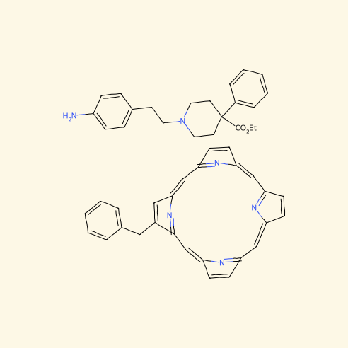 C1=CC2=NC1=CC1=NC(=CC3=NC(=CC4=NC(=C2)C=C4)C=C3Cc2ccccc2)C=C1.CCOC(=O)C1(c2ccccc2)CCN(CCc2ccc(N)cc2)CC1